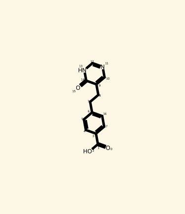 O=C(O)c1ccc(CCc2cnc[nH]c2=O)cc1